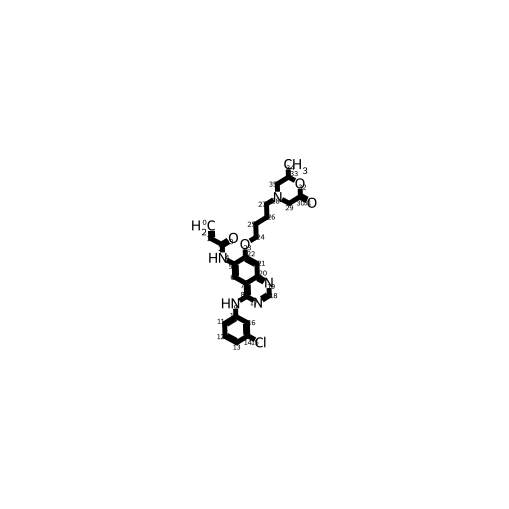 C=CC(=O)Nc1cc2c(Nc3cccc(Cl)c3)ncnc2cc1OCCCCN1CC(=O)OC(C)C1